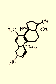 CC1CC2CC(O)C=C[C@]2(C)C2=C1[C@@H]1CCC(O)[C@@]1(C)CC2